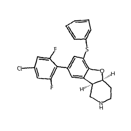 Fc1cc(Cl)cc(F)c1-c1cc(Sc2ccccc2)c2c(c1)[C@@H]1CNCC[C@@H]1O2